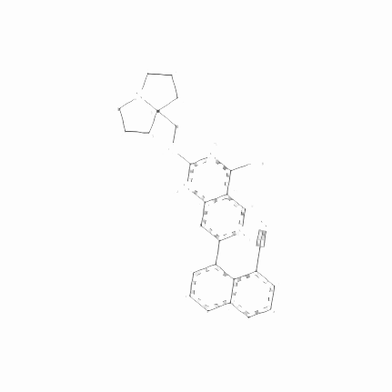 N#Cc1cccc2cccc(-c3cc4nc(OCC56CCCN5CCC6)nc(F)c4cn3)c12